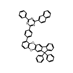 c1ccc(-c2nc(-c3ccc(-c4cccc5c4Oc4cc6c(cc4O5)C(c4ccccc4)(c4ccccc4)c4ccccc4-6)cc3)nc(-c3ccc4ccccc4c3)n2)cc1